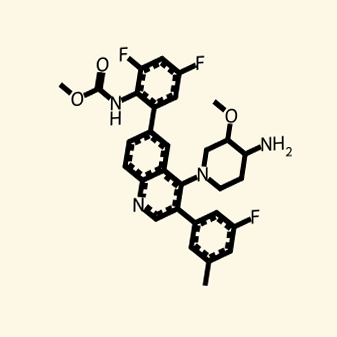 COC(=O)Nc1c(F)cc(F)cc1-c1ccc2ncc(-c3cc(C)cc(F)c3)c(N3CCC(N)C(OC)C3)c2c1